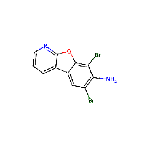 Nc1c(Br)cc2c(oc3ncccc32)c1Br